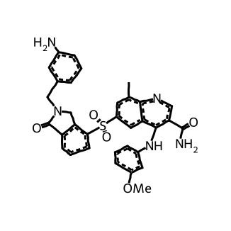 COc1cccc(Nc2c(C(N)=O)cnc3c(C)cc(S(=O)(=O)c4cccc5c4CN(Cc4cccc(N)c4)C5=O)cc23)c1